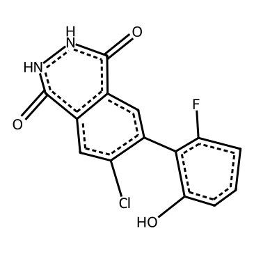 O=c1[nH][nH]c(=O)c2cc(-c3c(O)cccc3F)c(Cl)cc12